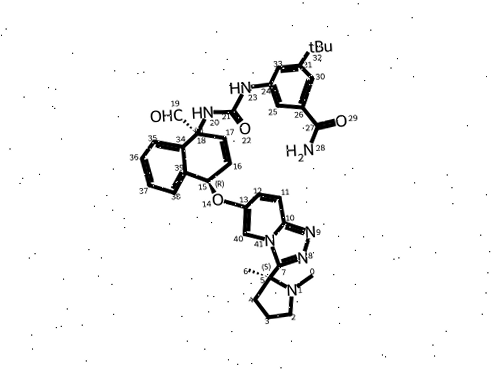 CN1CCC[C@@]1(C)c1nnc2ccc(O[C@@H]3C=C[C@](C=O)(NC(=O)Nc4cc(C(N)=O)cc(C(C)(C)C)c4)c4ccccc43)cn12